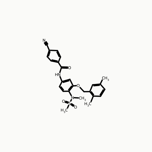 Cc1ccc(C)c(COc2cc(NC(=O)c3ccc(C#N)cc3)ccc2N(C)S(C)(=O)=O)c1